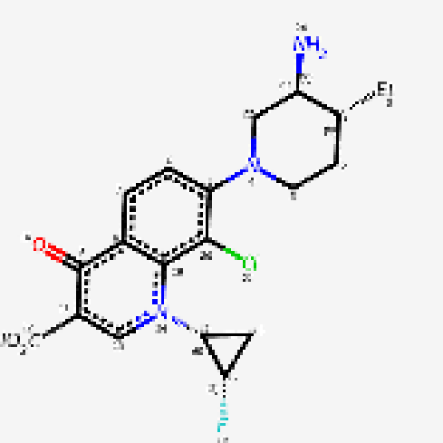 CC[C@@H]1CCN(c2ccc3c(=O)c(C(=O)O)cn([C@@H]4C[C@@H]4F)c3c2Cl)C[C@H]1N